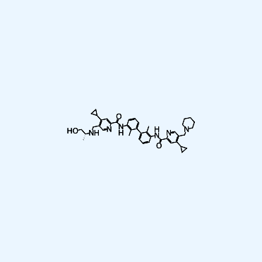 Cc1c(NC(=O)c2cc(C3CC3)c(CN[C@H](C)CO)cn2)cccc1-c1cccc(NC(=O)c2cc(C3CC3)c(CN3CCCCC3)cn2)c1C